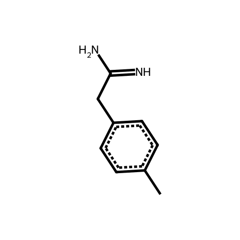 Cc1ccc(CC(=N)N)cc1